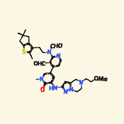 COCCN1CCn2nc(Nc3cc(-c4ccnc(N(C=O)CCc5c(C)sc6c5CC(C)(C)C6)c4C=O)cn(C)c3=O)cc2C1